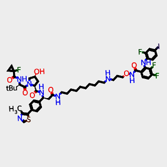 Cc1ncsc1-c1ccc([C@H](CC(=O)NCCCCCCCCCCNCCCONC(=O)c2ccc(F)c(F)c2Nc2ccc(I)cc2F)NC(=O)[C@@H]2C[C@@H](O)CN2C(=O)[C@@H](NC(=O)C2(F)CC2)C(C)(C)C)cc1